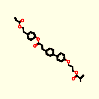 C=CC(=O)OCCc1ccc(OC(=O)/C=C/c2ccc(-c3ccc(OCCCOC(=O)C(=C)C)cc3)cc2)cc1